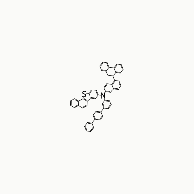 c1ccc(-c2ccc(-c3cccc(N(c4ccc5c(-c6cc7ccccc7c7ccccc67)cccc5c4)c4ccc5sc6c7ccccc7ccc6c5c4)c3)cc2)cc1